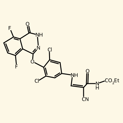 CCOC(=O)NC(=O)/C(C#N)=C\Nc1cc(Cl)c(Oc2n[nH]c(=O)c3c(F)ccc(F)c23)c(Cl)c1